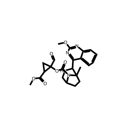 COC(=O)C1CC1(C=O)OC(=O)N1C2CCC1(C)C(c1nc(OC)nc3ccccc13)NC2